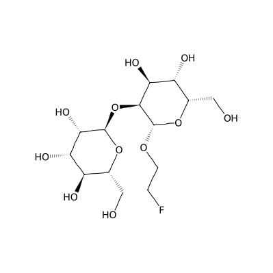 OC[C@@H]1O[C@H](OCCF)[C@@H](O[C@H]2O[C@H](CO)[C@@H](O)[C@H](O)[C@@H]2O)[C@@H](O)[C@@H]1O